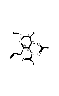 C=CC[C@H]1O[C@H](CC)[C@@H](C)[C@H](OC(C)=O)[C@H]1OC(C)=O